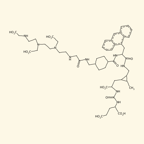 CC1C(CNC(=O)C(Cc2c3ccccc3cc3ccccc23)NC(=O)C2CCC(CNC(=O)CNCCN(CCN(CCNCC(=O)O)CC(=O)O)CC(=O)O)CC2)C1CC(NC(=O)NC(CCC(=O)O)C(=O)O)C(=O)O